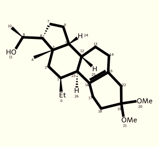 CC[C@H]1C[C@@]2(C)[C@H](CC[C@H]2[C@H](C)O)[C@@H]2CCC3=C(CCC(OC)(OC)C3)[C@@H]12